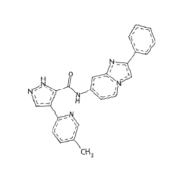 Cc1ccc(-c2cn[nH]c2C(=O)Nc2ccn3cc(-c4ccccc4)nc3c2)nc1